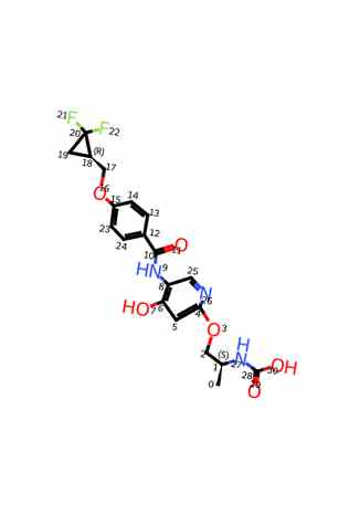 C[C@@H](COc1cc(O)c(NC(=O)c2ccc(OC[C@H]3CC3(F)F)cc2)cn1)NC(=O)O